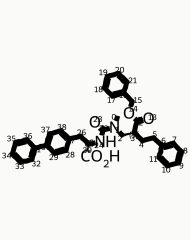 CN(C[C@H](CCc1ccccc1)C(=O)OCc1ccccc1)C(=O)N[C@@H](Cc1ccc(-c2ccccc2)cc1)C(=O)O